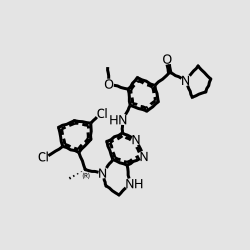 COc1cc(C(=O)N2CCCC2)ccc1Nc1cc2c(nn1)NCCN2[C@H](C)c1cc(Cl)ccc1Cl